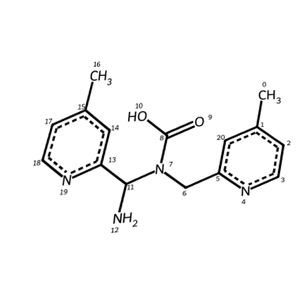 Cc1ccnc(CN(C(=O)O)C(N)c2cc(C)ccn2)c1